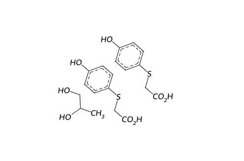 CC(O)CO.O=C(O)CSc1ccc(O)cc1.O=C(O)CSc1ccc(O)cc1